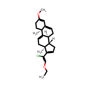 CCOC=C(Cl)C1=CC[C@H]2[C@@H]3CC=C4C=C(OC)CC[C@]4(C)C3=CC[C@]12C